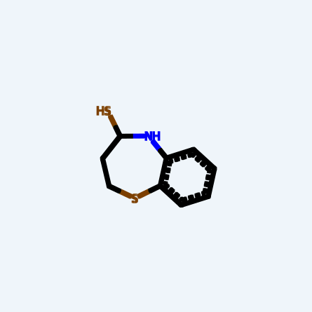 SC1CCSc2ccccc2N1